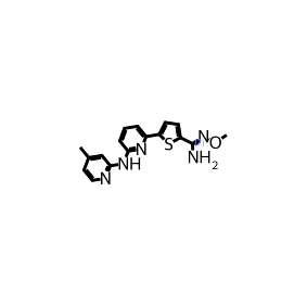 CO/N=C(\N)c1ccc(-c2cccc(Nc3cc(C)ccn3)n2)s1